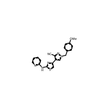 COc1ccc(Cn2cc(-c3csc(Nc4ccccn4)n3)c(C#N)n2)cc1